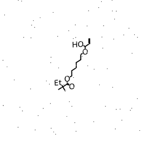 C=CC(O)OCCCCCCOC(=O)C(C)(C)CC